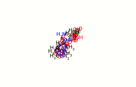 CN(CC(=O)O)C(=O)CN(C)C(=O)CN(C)C(=O)CN(C)C(=O)CN(C)C(=O)CN(C)C(=O)CN(C)C(=O)CN(C)C(=O)CN(C)C(=O)CN(C)C(=O)c1cc(N2C(=O)C=CC2=O)ccc1CCC(=O)NCCOP(=O)(O)OP(=O)(O)OCC(=O)[C@@]12O[C@H](c3ccc(Cc4cccc(N)c4)s3)O[C@@H]1C[C@H]1[C@@H]3C[C@H](F)C4=CC(=O)C=C[C@]4(C)[C@@]3(F)[C@@H](O)C[C@@]12C